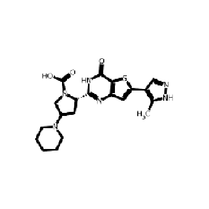 Cc1[nH]ncc1-c1cc2nc([C@@H]3CC(N4CCCCC4)CN3C(=O)O)[nH]c(=O)c2s1